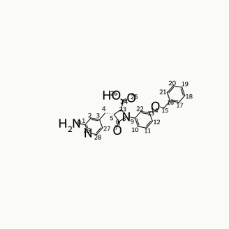 Nc1cc(C[C@H]2C(=O)N(c3cccc(OCc4ccccc4)c3)[C@@H]2C(=O)O)ccn1